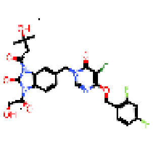 CC(C)(O)CC(=O)n1c(=O)n(C(=O)CO)c2ccc(Cn3cnc(OCc4ccc(F)cc4F)c(Cl)c3=O)cc21